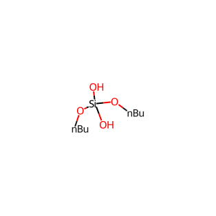 CCCCO[Si](O)(O)OCCCC